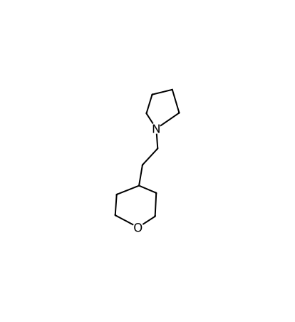 C1CCN(CCC2CCOCC2)C1